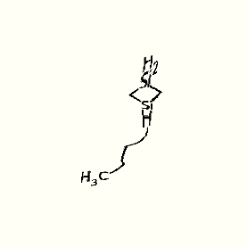 CCCC[SiH]1C[SiH2]C1